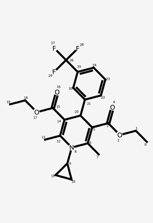 CCOC(=O)C1=C(C)N(C2CC2)C(C)=C(C(=O)OCC)C1c1cccc(C(F)(F)F)c1